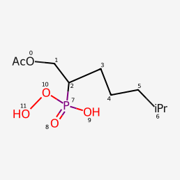 CC(=O)OCC(CCCC(C)C)P(=O)(O)OO